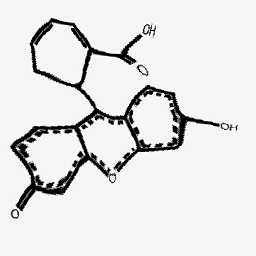 O=C(O)C1=CC=CCC1c1c2ccc(=O)cc-2oc2cc(O)ccc12